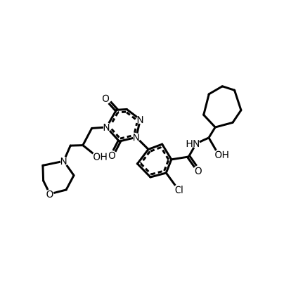 O=C(NC(O)C1CCCCCC1)c1cc(-n2ncc(=O)n(CC(O)CN3CCOCC3)c2=O)ccc1Cl